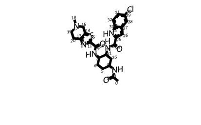 CC(=O)NC1CCC(NC(=O)c2nc3c(s2)CN(C)CC3)C(NC(=O)c2cc3cc(Cl)ccc3[nH]2)C1